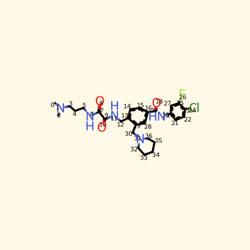 CN(C)CCCNC(=O)C(=O)NCc1ccc(C(=O)Nc2ccc(Cl)c(F)c2)cc1CN1CCCCC1